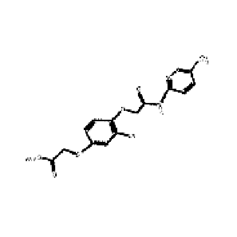 COC(=O)COc1ccc(OCC(=O)Nc2ccc(C)cn2)c(C#N)c1